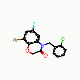 O=C1COc2c(Br)cc(F)cc2N1Cc1ccccc1Cl